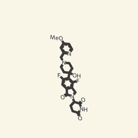 COc1ccnc(CN2CCC(O)(c3c(F)cc4c(c3F)CN(C3CCC(=O)NC3=O)C4=O)CC2)c1